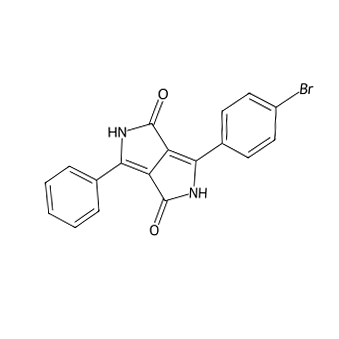 O=C1NC(c2ccc(Br)cc2)=C2C(=O)NC(c3ccccc3)=C12